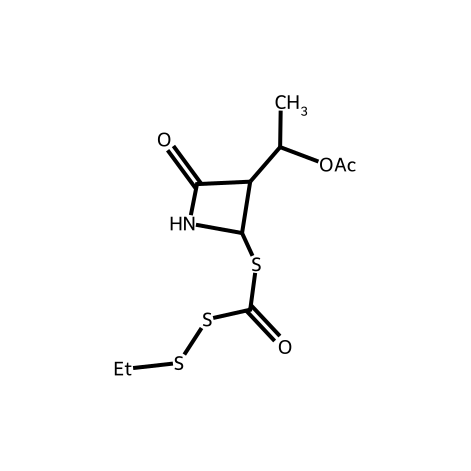 CCSSC(=O)SC1NC(=O)C1C(C)OC(C)=O